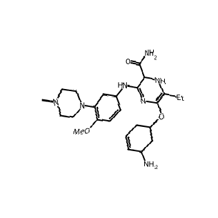 CCC1=C(OC2CC=CC(N)C2)N=C(NC2C=CC(OC)=C(N3CCN(C)CC3)C2)C(C(N)=O)N1